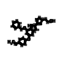 CSc1ccc(Oc2cc(OCc3ccccc3)c3[nH]c(C4=NCC(CCO)S4)cc3c2)cc1